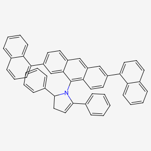 C1=C(c2ccccc2)N(c2c3ccc(-c4cccc5ccccc45)cc3cc3ccc(-c4cccc5ccccc45)cc23)C(c2ccccc2)C1